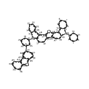 c1ccc(-n2c3ccccc3c3c4oc5c(ccc6c5c5ccccc5n6-c5cccc(-c6ccc7oc8ccccc8c7c6)c5)c4ccc32)cc1